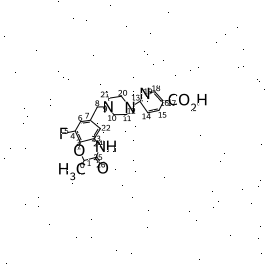 CC1Oc2c(F)cc(CN3CCN(c4ccc(C(=O)O)cn4)CC3)cc2NC1=O